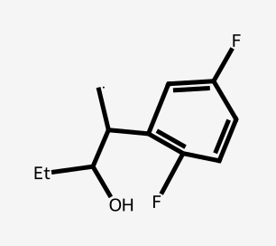 [CH2]C(c1cc(F)ccc1F)C(O)CC